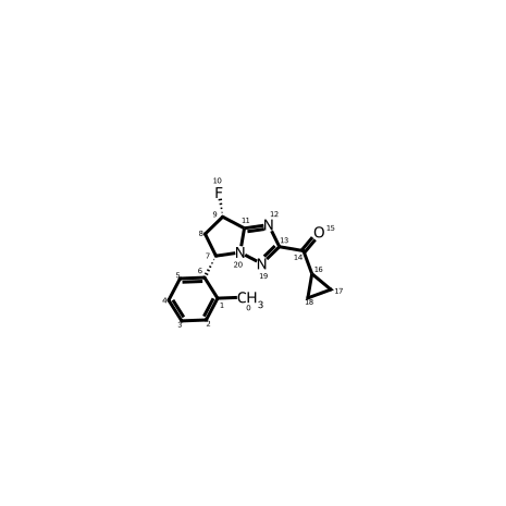 Cc1ccccc1[C@@H]1C[C@H](F)c2nc(C(=O)C3CC3)nn21